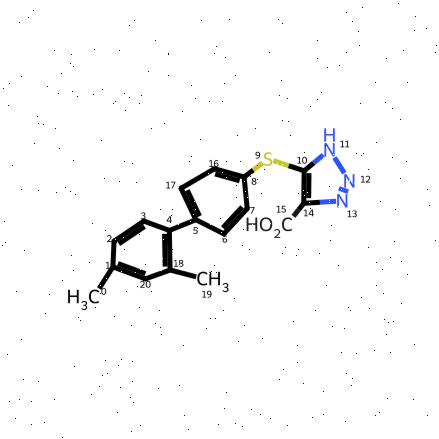 Cc1ccc(-c2ccc(Sc3[nH]nnc3C(=O)O)cc2)c(C)c1